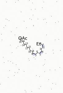 CC/C=C\C/C=C\C/C=C\CCCCCCCCOC(C)=O